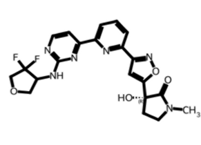 CN1CC[C@@](O)(c2cc(-c3cccc(-c4ccnc(NC5COCC5(F)F)n4)n3)no2)C1=O